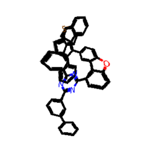 c1ccc(-c2cccc(-c3nc(-c4cccc(-c5ccccc5)c4)nc(-c4cccc5oc6ccc(-c7c(-c8ccccc8)ccc8sc9ccccc9c78)cc6c45)n3)c2)cc1